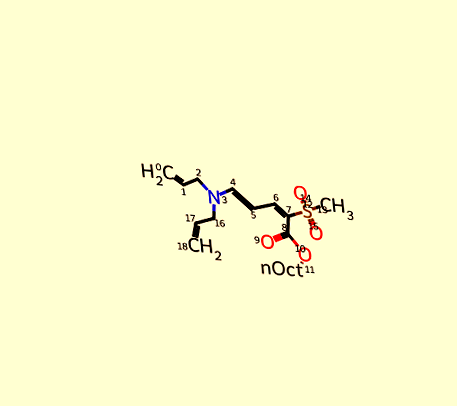 C=CCN(/C=C/C=C(\C(=O)OCCCCCCCC)S(C)(=O)=O)CC=C